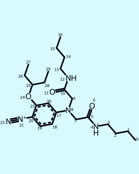 CCCCNC(=O)CN(CC(=O)NCCCC)c1ccc([N+]#N)c(OC(CC)CC)c1